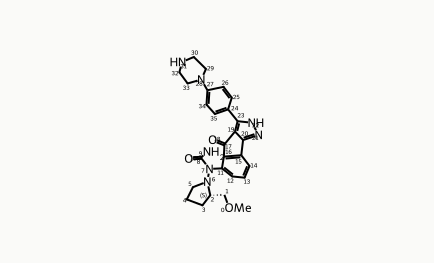 COC[C@@H]1CCCN1N(C(N)=O)c1cccc2c1C(=O)c1c-2n[nH]c1-c1ccc(N2CCNCC2)cc1